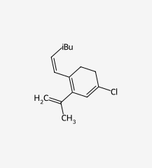 C=C(C)C1=C(/C=C\C(C)CC)CCC(Cl)=C1